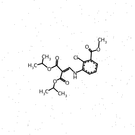 COC(=O)c1cccc(NC=C(C(=O)OC(C)C)C(=O)OC(C)C)c1Cl